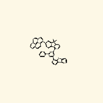 CC1(C)c2cc(-c3ccc4ccc5cccc6ccc3c4c56)ccc2-c2c(-c3nc(-c4ccccc4)nc(-c4cccc5c4sc4ccccc45)n3)cccc21